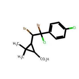 CC1(C)C(C(=O)O)C1C(Br)C(Cl)(Br)c1ccc(Cl)cc1